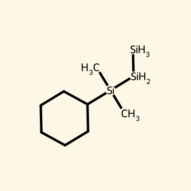 C[Si](C)([SiH2][SiH3])C1CCCCC1